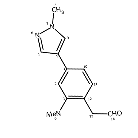 CNc1cc(-c2cnn(C)c2)ccc1CC=O